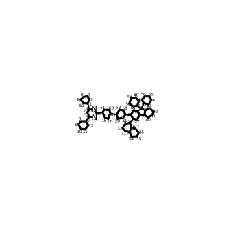 c1ccc(-c2cc(-c3ccccc3)nc(-c3ccc(-c4ccc(-c5cc6c(cc5-c5cccc7ccccc57)-c5ccccc5C6(c5ccccc5)c5ccccc5)cc4)cc3)n2)cc1